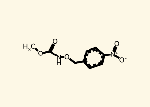 COC(=O)NOCc1ccc([N+](=O)[O-])cc1